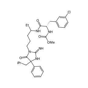 CCC(CCCN1C(=N)NC(CC(C)C)(c2ccccc2)C1=O)NC(=O)[C@H](Cc1cccc(Cl)c1)NC(=O)OC